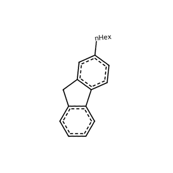 CCCCCCc1ccc2c(c1)Cc1ccccc1-2